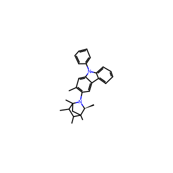 Cc1cc2c(cc1N1[C@@H](C)C3(C)CC1(C)C(C)C3C)c1ccccc1n2-c1ccccc1